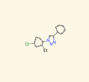 CCc1cc(Cl)ccc1-n1cc(-c2ccccc2)nn1